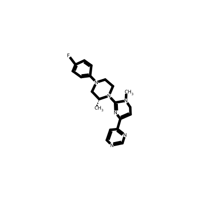 C[C@@H]1CN(c2ccc(F)cc2)CCN1C1=NC(c2ccncn2)=CCN1C